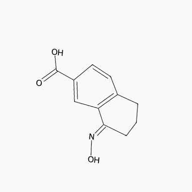 O=C(O)c1ccc2c(c1)C(=NO)CCC2